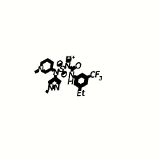 CCc1cc(NC(=O)[NH+]([O-])S(=O)(=O)N(c2cnn(C)c2)C2CCCN(C)C2)cc(C(F)(F)F)c1